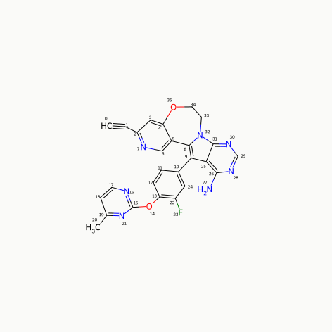 C#Cc1cc2c(cn1)-c1c(-c3ccc(Oc4nccc(C)n4)c(F)c3)c3c(N)ncnc3n1CCO2